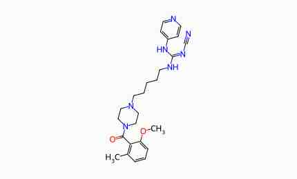 COc1cccc(C)c1C(=O)N1CCN(CCCCCN/C(=N/C#N)Nc2ccncc2)CC1